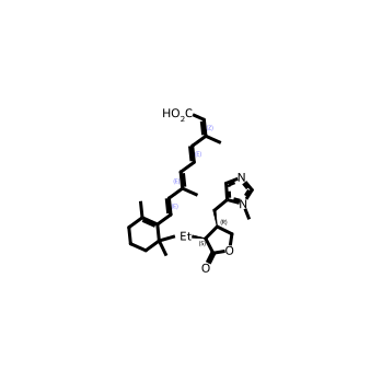 CC1=C(/C=C/C(C)=C/C=C/C(C)=C\C(=O)O)C(C)(C)CCC1.CC[C@@H]1C(=O)OC[C@@H]1Cc1cncn1C